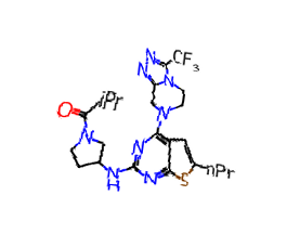 CCCc1cc2c(N3CCn4c(nnc4C(F)(F)F)C3)nc(NC3CCN(C(=O)C(C)C)C3)nc2s1